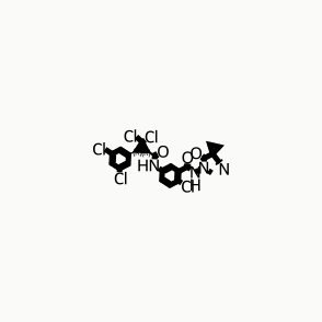 CN(NC(=O)c1cc(NC(=O)[C@H]2[C@H](c3cc(Cl)cc(Cl)c3)C2(Cl)Cl)ccc1Cl)C(=O)C1(C#N)CC1